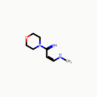 CN/C=C\C(=N)N1CCOCC1